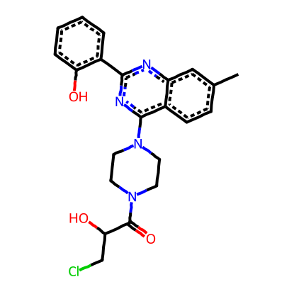 Cc1ccc2c(N3CCN(C(=O)C(O)CCl)CC3)nc(-c3ccccc3O)nc2c1